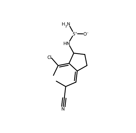 C/C(Cl)=C1\C(=C/C(C)C#N)CCC1N[S+](N)[O-]